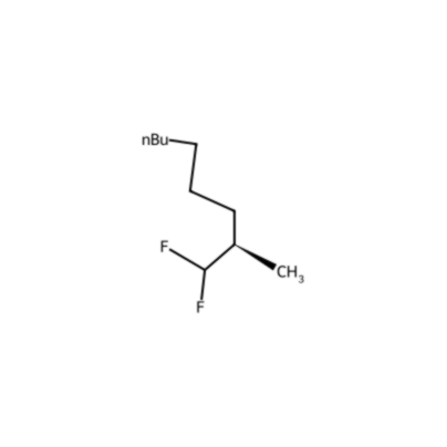 CCCCCCC[C@@H](C)C(F)F